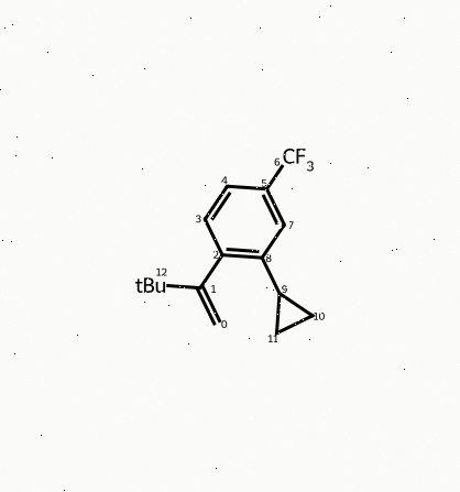 C=C(c1ccc(C(F)(F)F)cc1C1CC1)C(C)(C)C